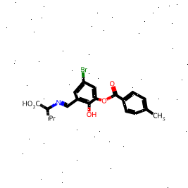 Cc1ccc(C(=O)Oc2cc(Br)cc(C=NC(C(=O)O)C(C)C)c2O)cc1